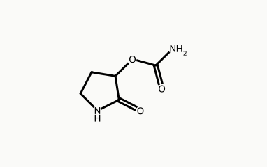 NC(=O)OC1CCNC1=O